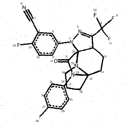 N#Cc1cc(N2N=C(C(F)(F)F)C3CCC45CCCN4C32C(=O)N5c2ccc(I)cc2)ccc1F